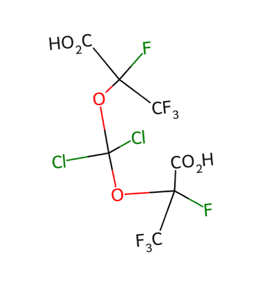 O=C(O)C(F)(OC(Cl)(Cl)OC(F)(C(=O)O)C(F)(F)F)C(F)(F)F